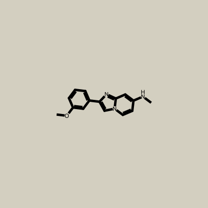 CNc1ccn2cc(-c3cccc(OC)c3)nc2c1